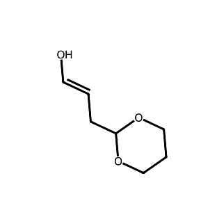 OC=CCC1OCCCO1